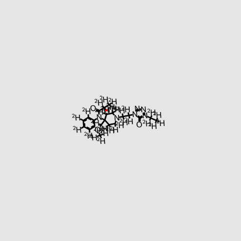 [2H]c1c([2H])c([2H])c(N(C(=O)C([2H])([2H])C([2H])([2H])[2H])C2(C([2H])([2H])OC([2H])([2H])[2H])C([2H])([2H])C([2H])([2H])N(C([2H])([2H])C([2H])([2H])n3nnn(C([2H])([2H])C([2H])([2H])[2H])c3=O)C([2H])([2H])C2([2H])[2H])c([2H])c1[2H]